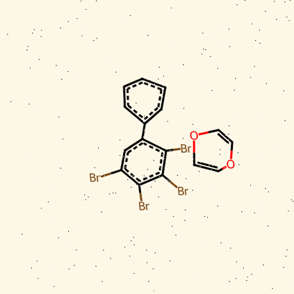 Brc1cc(-c2ccccc2)c(Br)c(Br)c1Br.C1=COC=CO1